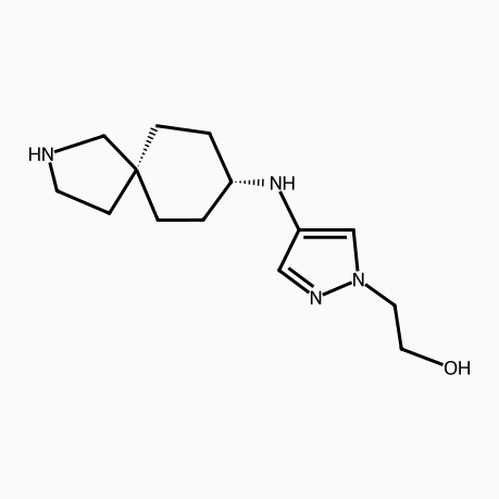 OCCn1cc(N[C@H]2CC[C@@]3(CCNC3)CC2)cn1